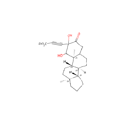 CCOC(=O)C#CC1(O)C(=O)CC2CC[C@H]3[C@@H]4CCC[C@@]4(C)CC[C@@H]3[C@@]2(C)C1O